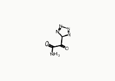 NC(=O)C(=O)C1N=NN=N1